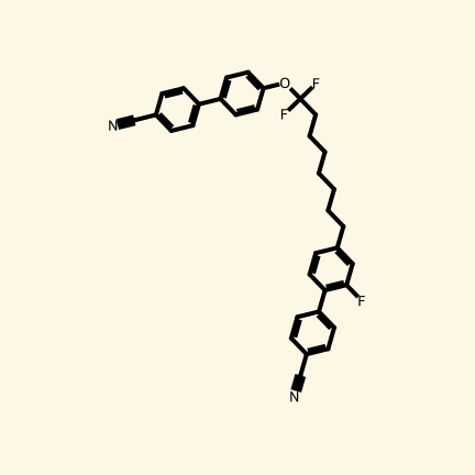 N#Cc1ccc(-c2ccc(OC(F)(F)CCCCCCCc3ccc(-c4ccc(C#N)cc4)c(F)c3)cc2)cc1